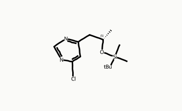 C[C@@H](Cc1cc(Cl)ncn1)O[Si](C)(C)C(C)(C)C